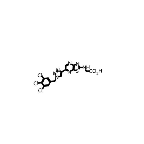 O=C(O)CNc1nc2ncc(-c3cn(Cc4cc(Cl)c(Cl)c(Cl)c4)nn3)nc2s1